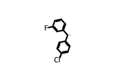 Fc1cccc([CH]c2ccc(Cl)cc2)c1